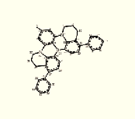 Cc1cc2c3c(c1)N1CCCc4c(-c5ccccc5)ccc(c41)B3c1ccc(-c3ccccc3)c3c1N2CCC3